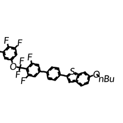 CCCCOc1ccc2cc(-c3ccc(-c4cc(F)c(C(F)(F)Oc5cc(F)c(F)c(F)c5)c(F)c4)cc3)sc2c1